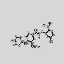 CC[S+]([O-])c1ccc(Cl)cc1CNC(=O)c1ccc(NC2CCNCC2)c(OC)c1